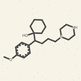 COc1ccc(C(CCCN2CCNCC2)C2(O)CCCCC2)cc1